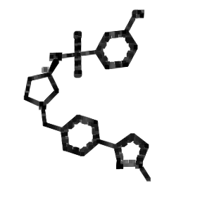 Cn1ccc(-c2ccc(CN3CC[C@@H](NS(=O)(=O)c4cccc(C#N)c4)C3)cc2)n1